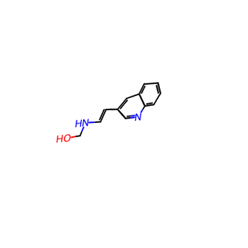 OCN/C=C/c1cnc2ccccc2c1